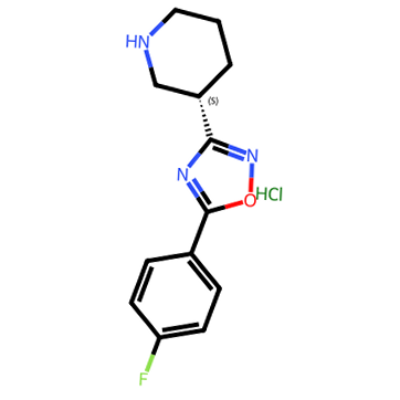 Cl.Fc1ccc(-c2nc([C@H]3CCCNC3)no2)cc1